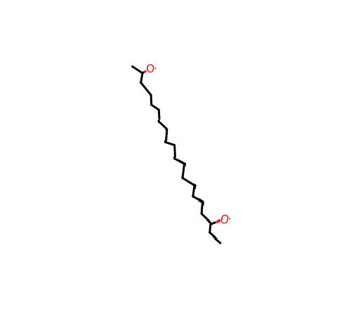 CCC([O])CCCCCCCCCCCCCCCC(C)[O]